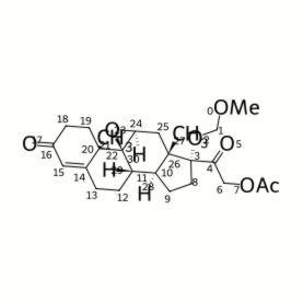 COCO[C@]1(C(=O)COC(C)=O)CC[C@H]2[C@@H]3CCC4=CC(=O)CC[C@]4(C)[C@@]34O[C@H]4C[C@@]21C